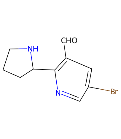 O=Cc1cc(Br)cnc1C1CCCN1